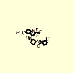 Cc1ccc2nc(C(F)(F)F)cc(N[C@H]3CCC[C@@H](NC(=O)c4cccc(Cl)c4)C3)c2c1